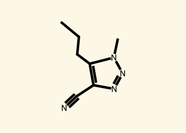 CCCc1c(C#N)nnn1C